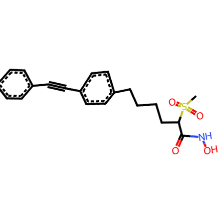 CS(=O)(=O)C(CCCCc1ccc(C#Cc2ccccc2)cc1)C(=O)NO